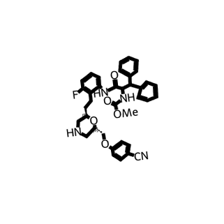 COC(=O)NC(C(=O)Nc1cccc(F)c1CC[C@@H]1CNC[C@@H](COc2ccc(C#N)cc2)O1)C(c1ccccc1)c1ccccc1